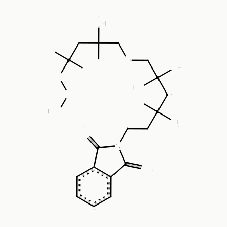 CPOC(C)(C)CC(C)(C)COCC(C)(C)CC(C)(C)CCN1C(=O)c2ccccc2C1=O